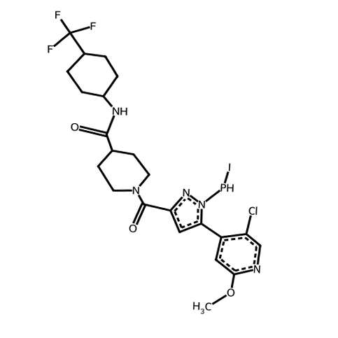 COc1cc(-c2cc(C(=O)N3CCC(C(=O)NC4CCC(C(F)(F)F)CC4)CC3)nn2PI)c(Cl)cn1